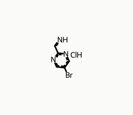 Cl.N=Cc1ncc(Br)cn1